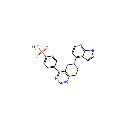 CS(=O)(=O)c1ccc(-c2ncnc3c2CN(c2ccnc4[nH]ccc24)CC3)cc1